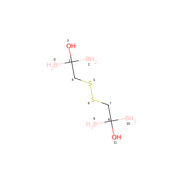 BC(B)(O)CSSCC(B)(B)O